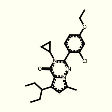 CCOc1ccc(-c2nn3c(C)cc(C(CC)CC)c3c(=O)n2C2CC2)c(Cl)c1